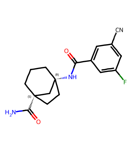 N#Cc1cc(F)cc(C(=O)N[C@]23CCC[C@](C(N)=O)(CC2)C3)c1